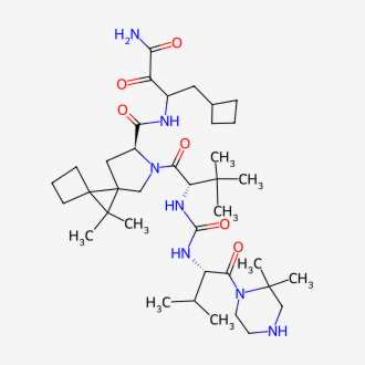 CC(C)[C@H](NC(=O)N[C@H](C(=O)N1CC2(C[C@H]1C(=O)NC(CC1CCC1)C(=O)C(N)=O)C(C)(C)C21CCC1)C(C)(C)C)C(=O)N1CCNCC1(C)C